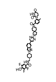 Cc1ccc(C(=O)N2CCC3(CC2)CCN(c2ncc(-c4ccc5cn([C@H]6CC[C@H](CNC(=O)c7cc(F)c(O)c(F)c7F)CC6)nc5c4)cn2)C3)cc1N1CCC(=O)NC1=O